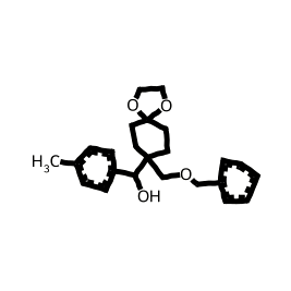 Cc1ccc(C(O)C2(COCc3ccccc3)CCC3(CC2)OCCO3)cc1